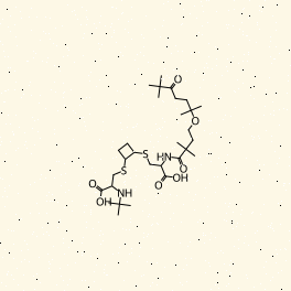 CC(C)(C)NC(CSC1CCC1SCC(NC(=O)C(C)(C)CCOC(C)(C)CCC(=O)C(C)(C)C)C(=O)O)C(=O)O